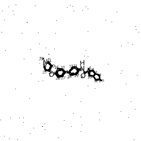 CC1CC2CC(C)(C(=O)Nc3ccc(-c4ccc(OC5CCN(C)CC5)cc4)cc3)CC2C1